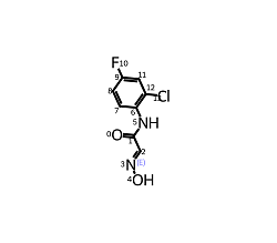 O=C(/C=N/O)Nc1ccc(F)cc1Cl